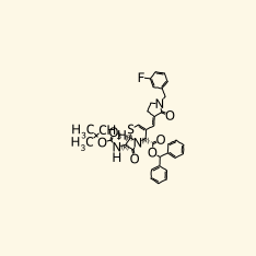 CC(C)(C)OC(=O)N[C@@H]1C(=O)N2[C@@H](C(=O)OC(c3ccccc3)c3ccccc3)C(C=C3CCN(Cc4cccc(F)c4)C3=O)=CS[C@H]12